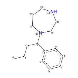 CCCC(c1ccccc1)N1CCCNCC1